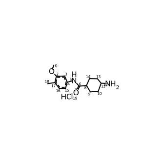 COc1cc(NC(=O)C2CCC(N)CC2)ccc1C.Cl